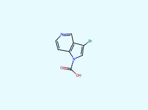 O=C(O)n1cc(Br)c2cnccc21